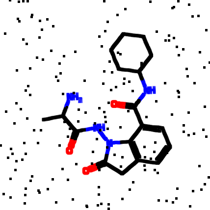 CC(N)C(=O)NN1C(=O)Cc2cccc(C(=O)NC3CCCCC3)c21